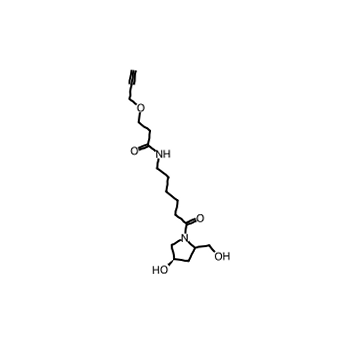 C#CCOCCC(=O)NCCCCCC(=O)N1C[C@H](O)CC1CO